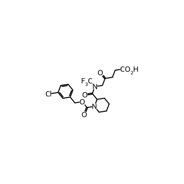 O=C(O)CCC(=O)CN(C(=O)C1CCCCN1C(=O)OCc1cccc(Cl)c1)C(F)(F)F